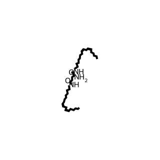 CCCCC/C=C\C/C=C\CCCCCCCCNC(=O)CCC(N)C(=O)NCCCCCCCC/C=C\C/C=C\CCCCC